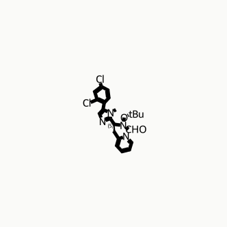 Cn1c(-c2ccc(Cl)cc2Cl)cnc1[C@H](Cc1ccccn1)N(C=O)OC(C)(C)C